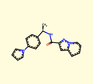 C[C@@H](NC(=O)c1cc2ccccn2n1)c1ccc(-n2cccc2)cc1